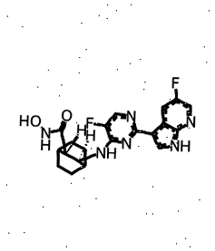 O=C(NO)[C@H]1C2CCC(CC2)[C@@H]1Nc1nc(-c2c[nH]c3ncc(F)cc23)ncc1F